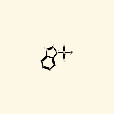 CC(C)S(=O)(=O)n1nnc2ccccc21